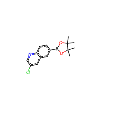 CC1(C)OB(c2ccc3ncc(Cl)cc3c2)OC1(C)C